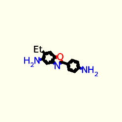 CCc1cc2oc(-c3ccc(N)cc3)nc2cc1N